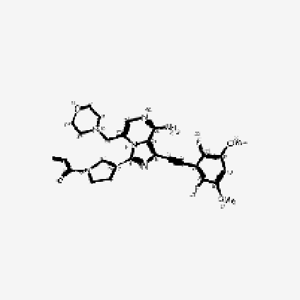 C=CC(=O)N1CC[C@H](c2nc(C#Cc3c(F)c(OC)cc(OC)c3F)c3c(N)ncc(CN4CCOCC4)n23)C1